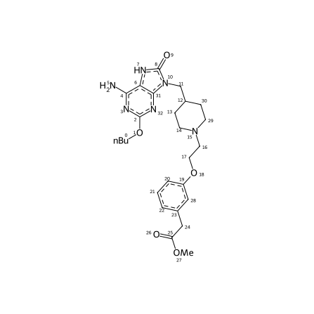 CCCCOc1nc(N)c2[nH]c(=O)n(CC3CCN(CCOc4cccc(CC(=O)OC)c4)CC3)c2n1